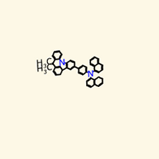 CC1(C)C2=C3C(CC=C2)c2cc(-c4ccc(N(c5cccc6c5CCC=C6)c5cccc6ccccc56)cc4)ccc2N3c2ccccc21